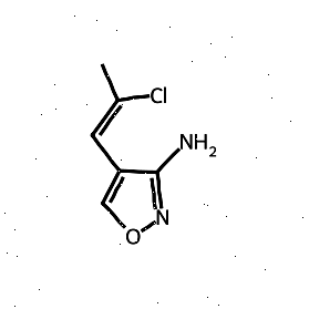 CC(Cl)=Cc1conc1N